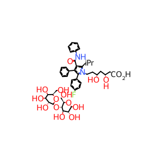 CC(C)c1c(C(=O)Nc2ccccc2)c(-c2ccccc2)c(-c2ccc(F)cc2)n1CC[C@@H](O)C[C@@H](O)CC(=O)O.OC[C@H]1O[C@@H](O[C@H]2[C@H](O)[C@@H](O)[C@H](O)O[C@@H]2CO)[C@H](O)[C@@H](O)[C@H]1O